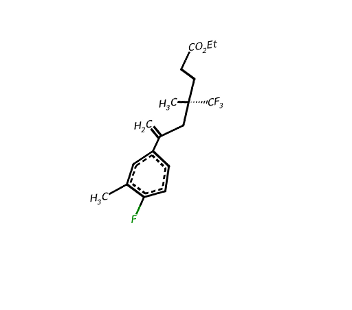 C=C(C[C@@](C)(CCC(=O)OCC)C(F)(F)F)c1ccc(F)c(C)c1